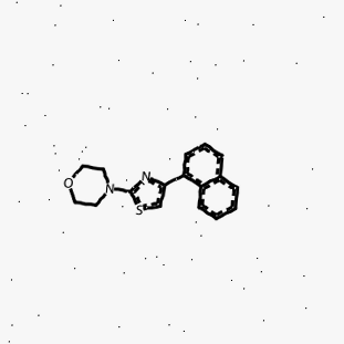 c1ccc2c(-c3csc(N4CCOCC4)n3)cccc2c1